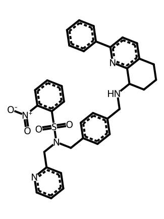 O=[N+]([O-])c1ccccc1S(=O)(=O)N(Cc1ccc(CNC2CCCc3ccc(-c4ccccc4)nc32)cc1)Cc1ccccn1